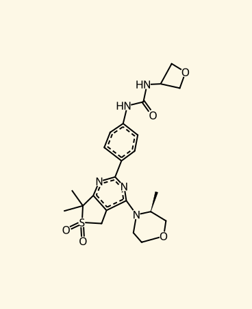 C[C@H]1COCCN1c1nc(-c2ccc(NC(=O)NC3COC3)cc2)nc2c1CS(=O)(=O)C2(C)C